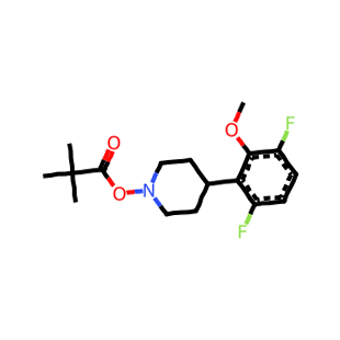 COc1c(F)ccc(F)c1C1CCN(OC(=O)C(C)(C)C)CC1